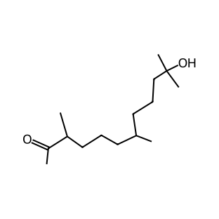 CC(=O)C(C)CCCC(C)CCCC(C)(C)O